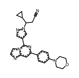 N#CCC(C1CC1)n1cc(-c2nc(-c3ccc(N4CCOCC4)cc3)cc3nccn23)cn1